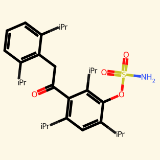 CC(C)c1cccc(C(C)C)c1CC(=O)c1c(C(C)C)cc(C(C)C)c(OS(N)(=O)=O)c1C(C)C